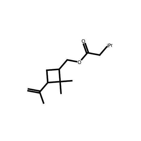 C=C(C)C1CC(COC(=O)CC(C)C)C1(C)C